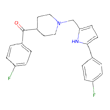 O=C(c1ccc(F)cc1)C1CCN(Cc2ccc(-c3ccc(F)cc3)[nH]2)CC1